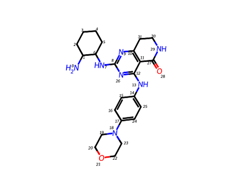 NC1CCCCC1Nc1nc2c(c(Nc3ccc(N4CCOCC4)cc3)n1)C(=O)NCC2